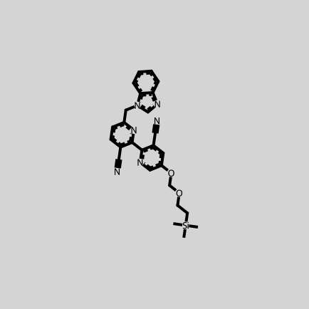 C[Si](C)(C)CCOCOc1cnc(-c2nc(Cn3cnc4ccccc43)ccc2C#N)c(C#N)c1